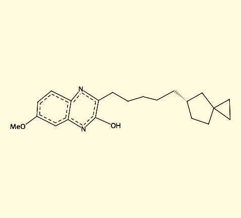 COc1ccc2nc(CCCCC[C@H]3CCC4(CC4)C3)c(O)nc2c1